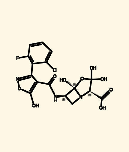 O=C(N[C@@H]1CN2[C@@H](C(=O)O)C(O)(O)O[C@]12O)c1c(-c2c(F)cccc2Cl)noc1O